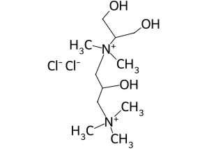 C[N+](C)(C)CC(O)C[N+](C)(C)C(CO)CO.[Cl-].[Cl-]